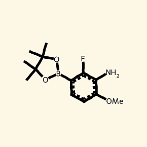 COc1ccc(B2OC(C)(C)C(C)(C)O2)c(F)c1N